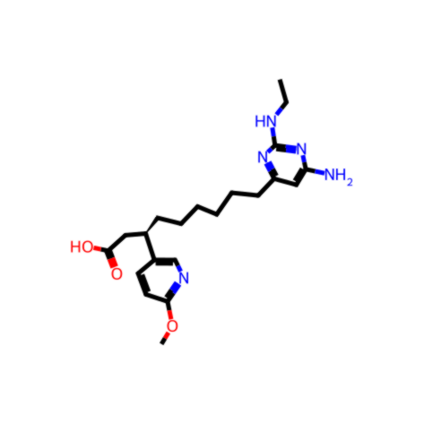 CCNc1nc(N)cc(CCCCCC[C@H](CC(=O)O)c2ccc(OC)nc2)n1